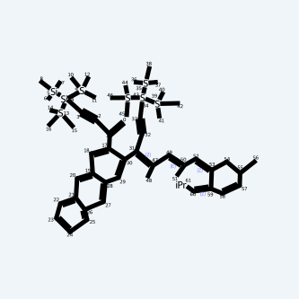 C=C(C#C[Si]([Si](C)(C)C)(S(C)(C)C)S(C)(C)C)c1cc2cc3ccccc3cc2cc1/C(C#CS(S(C)(C)C)(S(C)(C)C)S(C)(C)C)=C(C)/C=C(C)/C=C1/CC(C)C=C/C1=C/C(C)C